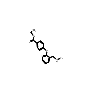 CCOC(=O)c1ccc(Oc2ncccc2CNC)cc1